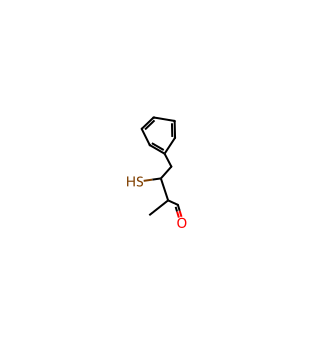 CC(C=O)C(S)Cc1ccccc1